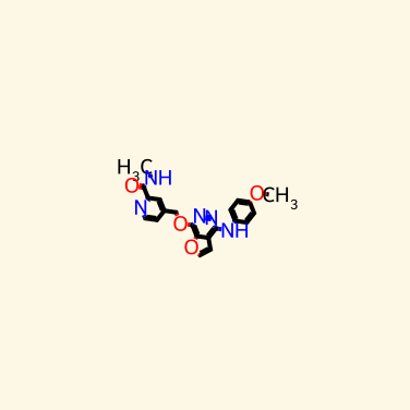 CNC(=O)c1cc(COc2nnc(Nc3ccc(OC)cc3)c3ccoc23)ccn1